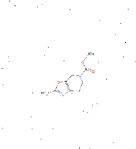 CC(C)(C)OC(=O)N1CCc2nc(C(=O)O)oc2C1